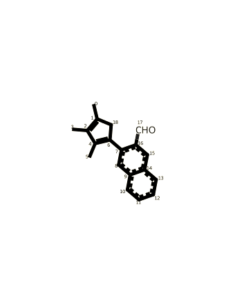 CC1=C(C)C(C)=C(c2cc3ccccc3cc2C=O)C1